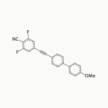 COc1ccc(-c2ccc(C#Cc3cc(F)c(C#N)c(F)c3)cc2)cc1